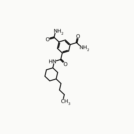 CCCCC1CCCC(NC(=O)c2cc(C(N)=O)cc(C(N)=O)c2)C1